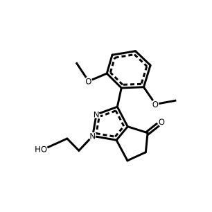 COc1cccc(OC)c1-c1nn(CCO)c2c1C(=O)CC2